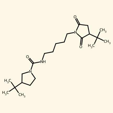 CC(C)(C)C1CCN(C(=O)NCCCCCN2C(=O)CC(C(C)(C)C)C2=O)C1